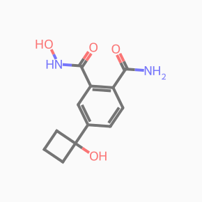 NC(=O)c1ccc(C2(O)CCC2)cc1C(=O)NO